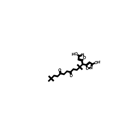 CC(C)(C)CCC(=O)CCC(=O)CCC(C)(C)C(c1cc(O)no1)c1cc(O)no1